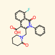 O=C(O)c1c(CN2CCCCC2=O)n(-c2ccccc2)c(=O)c2c(F)cccc12